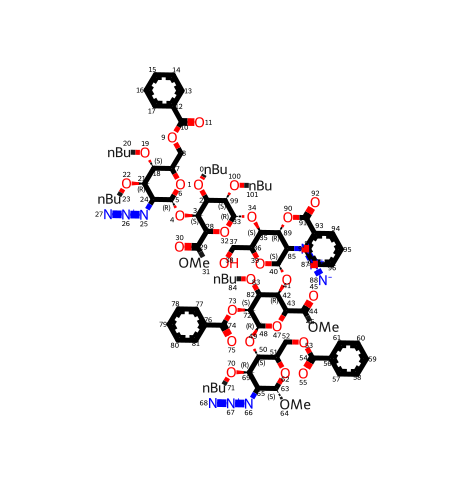 CCCCOC1[C@H](O[C@H]2OC(COC(=O)c3ccccc3)[C@@H](OCCCC)[C@H](OCCCC)C2N=[N+]=[N-])C(C(=O)OC)O[C@@H](O[C@@H]2C(CO)O[C@@H](O[C@H]3C(C(=O)OC)O[C@@H](O[C@@H]4C(COC(=O)c5ccccc5)O[C@H](OC)C(N=[N+]=[N-])[C@H]4OCCCC)[C@@H](OC(=O)c4ccccc4)C3OCCCC)C(N=[N+]=[N-])[C@H]2OC(=O)c2ccccc2)[C@H]1OCCCC